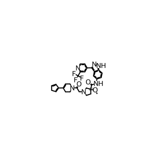 CO[C@@]1(C(=O)Nc2ccc3[nH]nc(-c4ccnc(C(F)(F)F)c4)c3c2)CCN(CC(=O)N2CC=C(C3=CCC=C3)CC2)C1